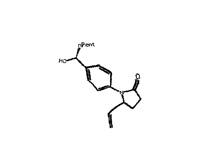 C=CC1CCC(=O)N1c1ccc([C@@H](O)CCCCC)cc1